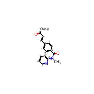 COC(=O)C=Cc1ccc(C(=O)N(C)c2ccccn2)cc1